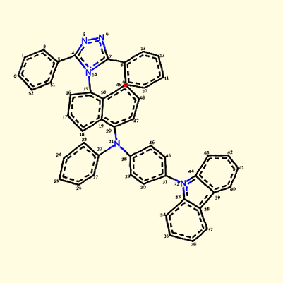 c1ccc(-c2nnc(-c3ccccc3)n2-c2cccc3c(N(c4ccccc4)c4ccc(-n5c6ccccc6c6ccccc65)cc4)cccc23)cc1